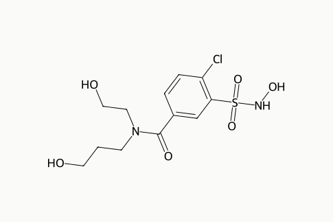 O=C(c1ccc(Cl)c(S(=O)(=O)NO)c1)N(CCO)CCCO